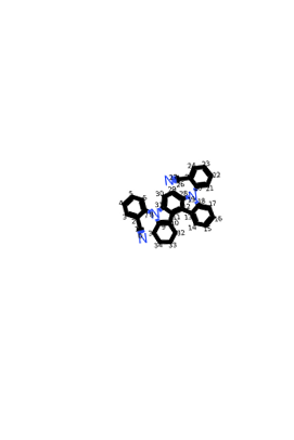 N#Cc1ccccc1-n1c2c(c3c4c5ccccc5n(-c5ccccc5C#N)c4ccc31)CCCC2